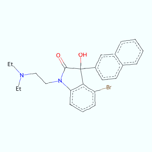 CCN(CC)CCN1C(=O)C(O)(c2ccc3ccccc3c2)c2c(Br)cccc21